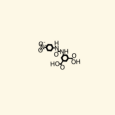 O=C(Nc1ccc([N+](=O)[O-])cc1)Nc1cc(C(=O)O)cc(C(=O)O)c1